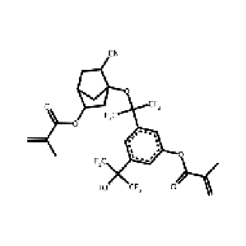 C=C(C)C(=O)Oc1cc(C(O)(C(F)(F)F)C(F)(F)F)cc(C(OC23CC(CC2C#N)C(OC(=O)C(=C)C)C3)(C(F)(F)F)C(F)(F)F)c1